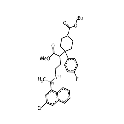 COC(=O)C(CCN[C@@H](C)c1cc(Cl)cc2ccccc12)C1(c2ccc(F)cc2)CCN(C(=O)OC(C)(C)C)CC1